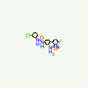 Nc1onc2c(F)ccc(-c3ccc(NC(=O)Nc4cccc(Cl)c4)cc3)c12